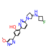 COc1cc(-c2ccc(-c3ccc(N4CC[C@H](NC5CC(F)C5)C4)nn3)c(O)c2)ncn1